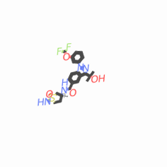 CC(C)(O)c1nn(-c2cccc(OC(F)F)c2)c2ccc(C(=O)N[C@@]3(C)CCS(=N)(=O)C3)cc12